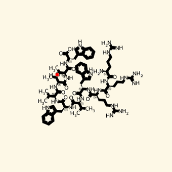 CC(C)[C@H](NC(=O)[C@H](Cc1c[nH]c2ccccc12)NC(=O)[C@H](CCCNC(=N)N)NC(=O)[C@H](CCCNC(=N)N)NC(=O)[C@@H](N)CCCNC(=N)N)C(=O)N[C@@H](Cc1c[nH]c2ccccc12)C(=O)N[C@H](C(=O)N[C@H](C(=O)N[C@H](C(=O)N[C@@H](Cc1c[nH]c2ccccc12)C(=O)O)C(C)C)C(C)C)C(C)C